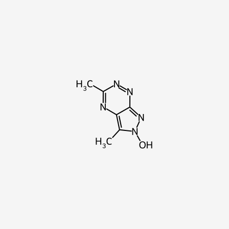 Cc1nnc2nn(O)c(C)c2n1